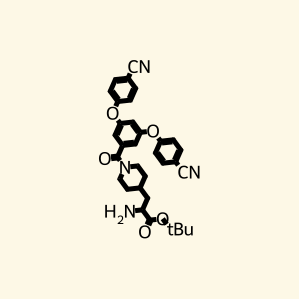 CC(C)(C)OC(=O)C(N)CC1CCN(C(=O)c2cc(Oc3ccc(C#N)cc3)cc(Oc3ccc(C#N)cc3)c2)CC1